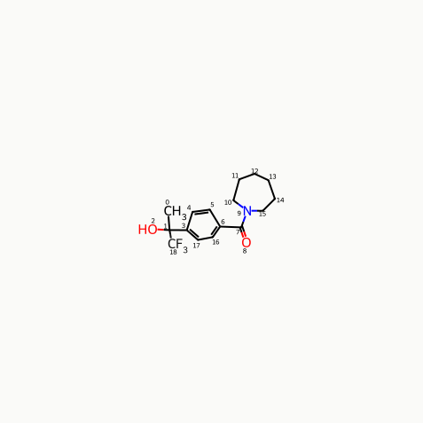 CC(O)(c1ccc(C(=O)N2CCCCCC2)cc1)C(F)(F)F